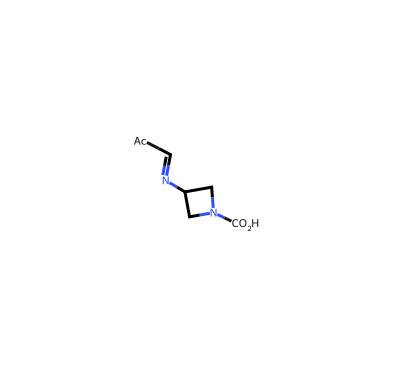 CC(=O)C=NC1CN(C(=O)O)C1